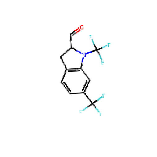 O=CC1Cc2ccc(C(F)(F)F)cc2N1C(F)(F)F